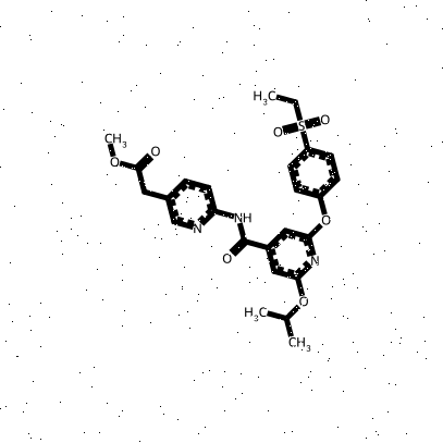 CCS(=O)(=O)c1ccc(Oc2cc(C(=O)Nc3ccc(CC(=O)OC)cn3)cc(OC(C)C)n2)cc1